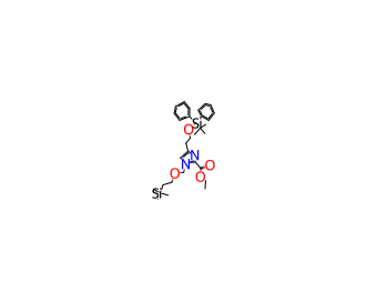 CCOC(=O)c1nc(CCO[Si](c2ccccc2)(c2ccccc2)C(C)(C)C)cn1COCC[Si](C)(C)C